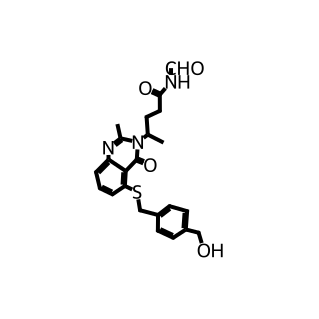 Cc1nc2cccc(SCc3ccc(CO)cc3)c2c(=O)n1C(C)CCC(=O)NC=O